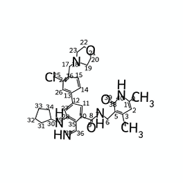 Cc1cc(C)c(CNC(=O)c2cc(-c3ccc(CN4CCOCC4)c(Cl)c3)cc(NC3CCCC3)c2C=N)c(=O)[nH]1